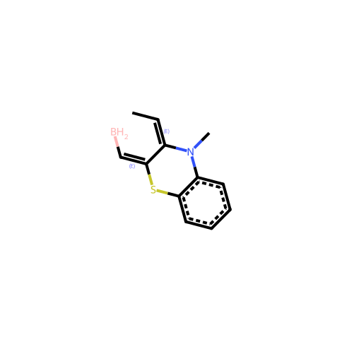 B/C=C1/Sc2ccccc2N(C)/C1=C/C